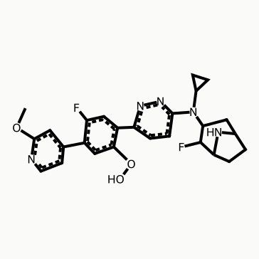 COc1cc(-c2cc(OO)c(-c3ccc(N(C4CC4)C4CC5CCC(N5)C4F)nn3)cc2F)ccn1